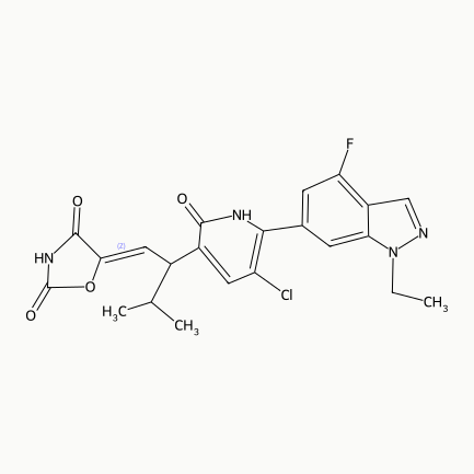 CCn1ncc2c(F)cc(-c3[nH]c(=O)c(C(/C=C4\OC(=O)NC4=O)C(C)C)cc3Cl)cc21